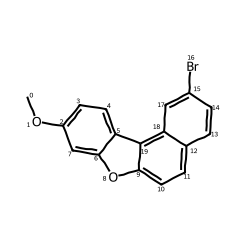 COc1ccc2c(c1)oc1ccc3ccc(Br)cc3c12